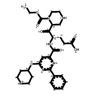 CCOC(=O)N1CCNCC1C(=O)[C@H](CCC(=O)O)NC(=O)c1cc(OC2CCNCC2)nc(-c2ccccc2)n1